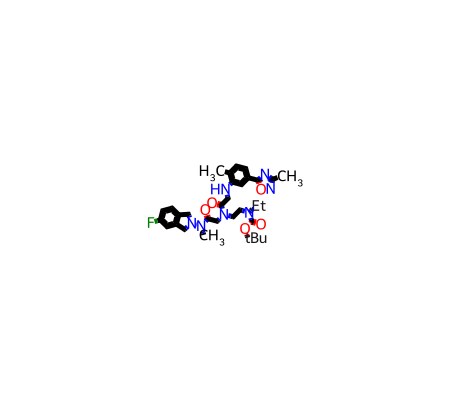 CCN(CCN(CC(=O)N(C)N1Cc2ccc(F)cc2C1)C(=O)CNc1cc(-c2nc(C)no2)ccc1C)C(=O)OC(C)(C)C